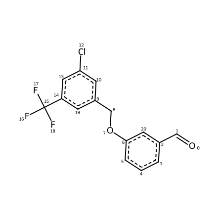 O=Cc1cccc(OCc2cc(Cl)cc(C(F)(F)F)c2)c1